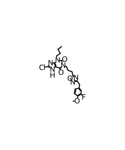 CCCCn1c(=O)n(CCCc2nc(Cc3ccc(OC)c(F)c3)no2)c(=O)c2[nH]c(Cl)nc21